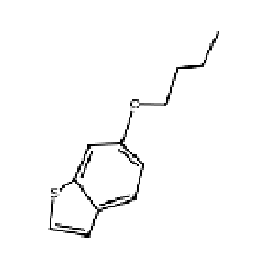 CCCCOc1ccc2ccsc2c1